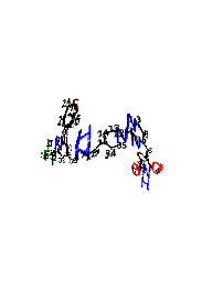 O=C1NC(=O)C(=Cc2ccnc(N3CCC(CNCc4cc(-c5ccsc5)nc(C(F)(F)F)c4)CC3)n2)S1